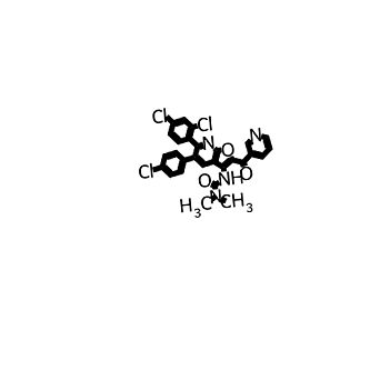 CN(C)C(=O)Nc1c(C(=O)c2cccnc2)oc2nc(-c3ccc(Cl)cc3Cl)c(-c3ccc(Cl)cc3)cc12